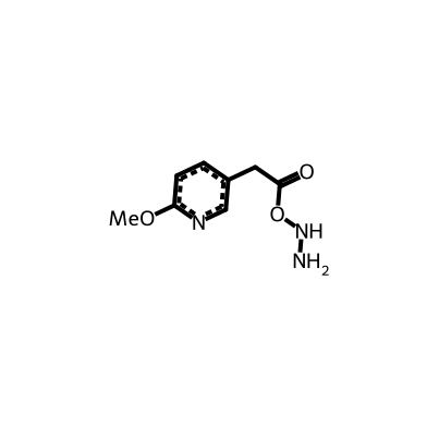 COc1ccc(CC(=O)ONN)cn1